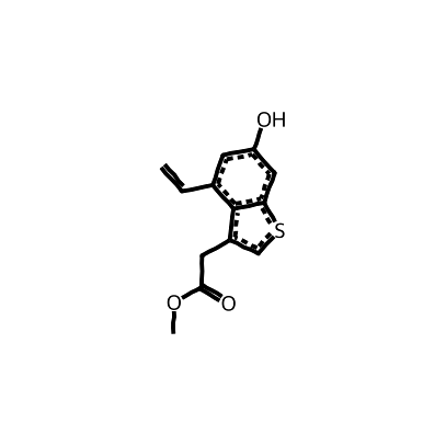 C=Cc1cc(O)cc2scc(CC(=O)OC)c12